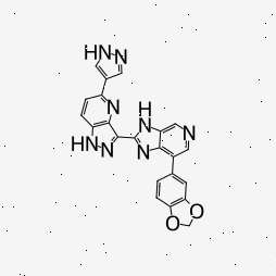 c1n[nH]cc1-c1ccc2[nH]nc(-c3nc4c(-c5ccc6c(c5)OCO6)cncc4[nH]3)c2n1